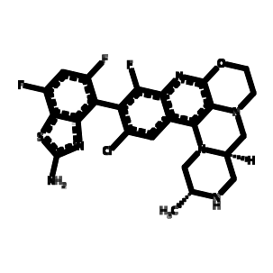 C[C@@H]1CN2c3c4c(nc5c(F)c(-c6c(F)cc(F)c7sc(N)nc67)c(Cl)cc35)OCCN4C[C@H]2CN1